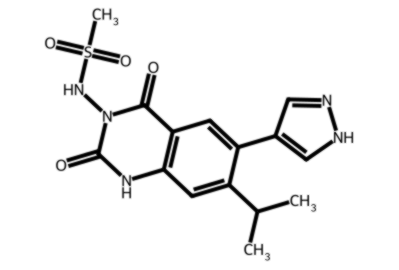 CC(C)c1cc2[nH]c(=O)n(NS(C)(=O)=O)c(=O)c2cc1-c1cn[nH]c1